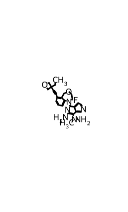 CCC1(C#Cc2cccc3c2COCCN3c2nc(N)c(N(C)N)c3cncc(F)c23)COC1